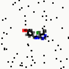 CCc1ncnc(NCCc2ccc(O)cc2)c1Cl